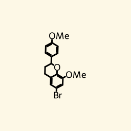 COc1ccc(C2CCc3cc(Br)cc(OC)c3O2)cc1